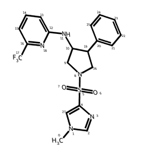 Cn1cnc(S(=O)(=O)N2CC(Nc3cccc(C(F)(F)F)n3)C(c3ccccc3)C2)c1